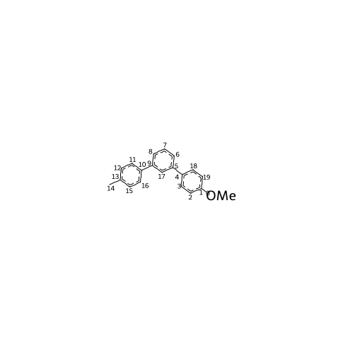 COc1ccc(-c2cccc(-c3ccc(C)cc3)c2)cc1